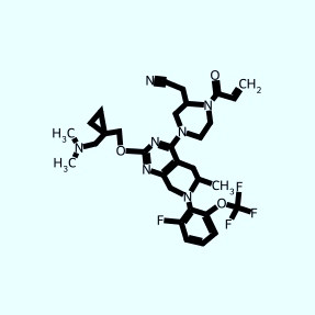 C=CC(=O)N1CCN(c2nc(OCC3(CN(C)C)CC3)nc3c2CC(C)N(c2c(F)cccc2OC(F)(F)F)C3)CC1CC#N